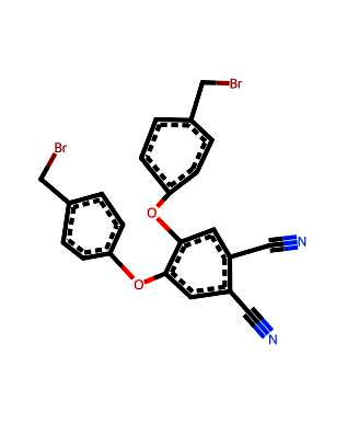 N#Cc1cc(Oc2ccc(CBr)cc2)c(Oc2ccc(CBr)cc2)cc1C#N